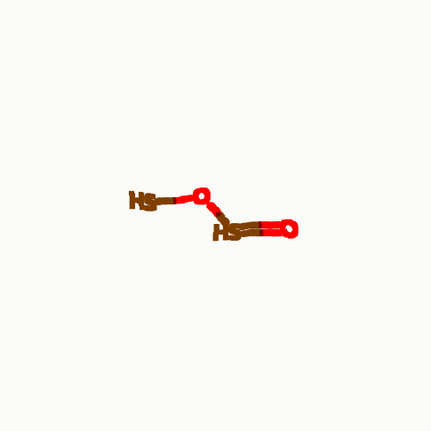 O=[SH]OS